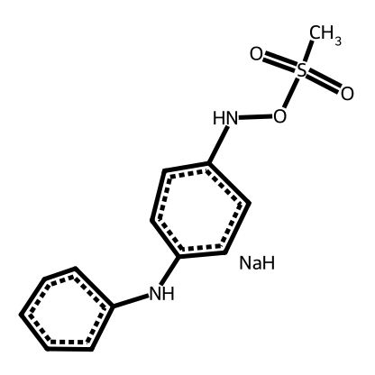 CS(=O)(=O)ONc1ccc(Nc2ccccc2)cc1.[NaH]